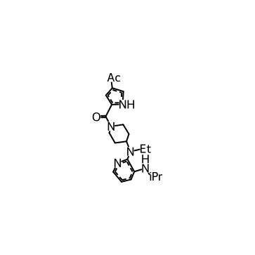 CCN(c1ncccc1NC(C)C)C1CCN(C(=O)c2cc(C(C)=O)c[nH]2)CC1